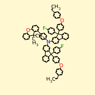 C=Cc1ccc(Oc2ccc(C3(c4ccc(F)cc4)c4ccccc4-c4ccc(N(c5ccc(-c6cccc7c6C(C)(C)c6ccccc6O7)cc5)c5ccc6c(c5)C(c5ccc(F)cc5)(c5ccc(Oc7ccc(C=C)cc7)cc5)c5ccccc5-6)cc43)cc2)cc1